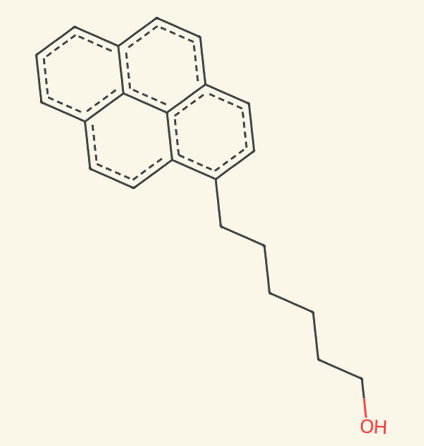 OCCCCCCc1ccc2ccc3cccc4ccc1c2c34